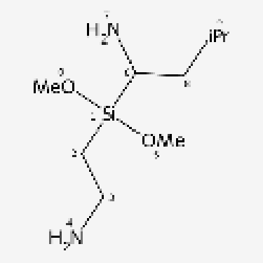 CO[Si](CCN)(OC)C(N)CC(C)C